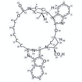 C[C@@H]1CN2CC[C@H]1n1c(nc3ccccc31)O[C@H]1C[C@@H](C(=O)O)N(C1)c1nc(nc3c1oc1ccccc13)CCCCCOC2=O